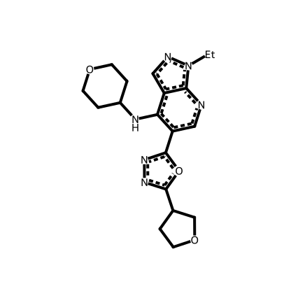 CCn1ncc2c(NC3CCOCC3)c(-c3nnc(C4CCOC4)o3)cnc21